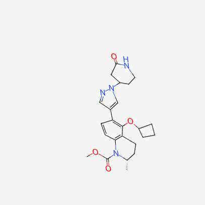 COC(=O)N1c2ccc(-c3cnn(C4CCNC(=O)C4)c3)c(OC3CCC3)c2CC[C@@H]1C